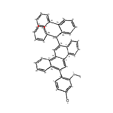 COc1cc(Cl)ccc1-c1cc2c3ccccc3c(B(c3ccccc3)c3ccccc3-c3ccccc3)cc2c2ccccc12